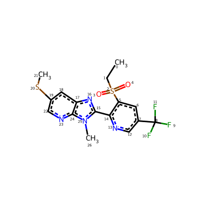 CCS(=O)(=O)c1cc(C(F)(F)F)cnc1-c1nc2cc(SC)cnc2n1C